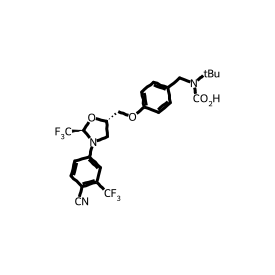 CC(C)(C)N(Cc1ccc(OC[C@@H]2CN(c3ccc(C#N)c(C(F)(F)F)c3)[C@@H](C(F)(F)F)O2)cc1)C(=O)O